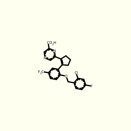 O=C(O)c1cncc(C2=C(c3cc(C(F)(F)F)ccc3OCc3ccc(F)cc3Cl)CCC2)n1